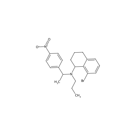 CCCN(C(C)c1ccc([N+](=O)[O-])cc1)C1CCCc2cccc(Br)c21